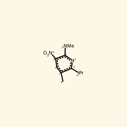 CNc1nc(C(C)C)c(C)cc1[N+](=O)[O-]